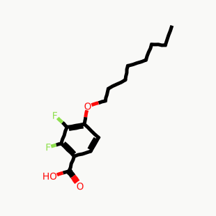 CCCCCCCCOc1ccc(C(=O)O)c(F)c1F